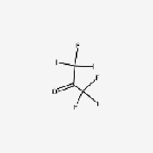 O=C(C(F)(F)F)C(F)(I)I